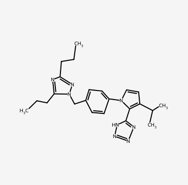 CCCc1nc(CCC)n(Cc2ccc(-n3ccc(C(C)C)c3-c3nnn[nH]3)cc2)n1